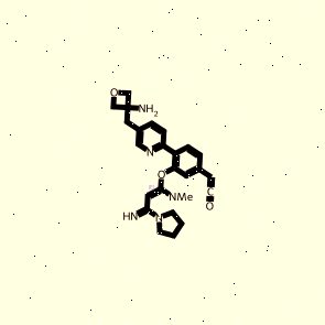 CN/C(=C\C(=N)N1CCCC1)Oc1cc(C=C=O)ccc1-c1ccc(CC2(N)COC2)cn1